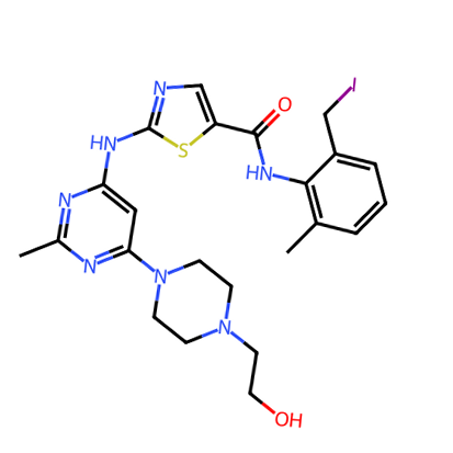 Cc1nc(Nc2ncc(C(=O)Nc3c(C)cccc3CI)s2)cc(N2CCN(CCO)CC2)n1